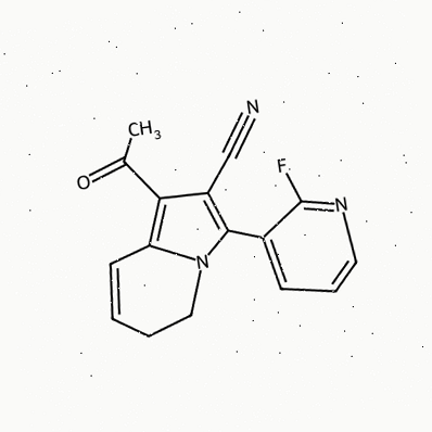 CC(=O)c1c(C#N)c(-c2cccnc2F)n2c1C=CCC2